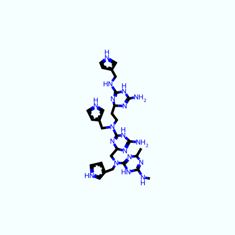 CNC1=NC(C)N=C(N(Cc2cc[nH]c2)CC2N=C(N)NC(N(CCC3N=C(N)NC(NCc4cc[nH]c4)=N3)Cc3cc[nH]c3)=N2)N1